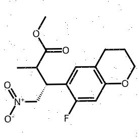 COC(=O)C(C)[C@@H](C[N+](=O)[O-])c1cc2c(cc1F)OCCC2